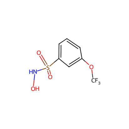 O=S(=O)(NO)c1cccc(OC(F)(F)F)c1